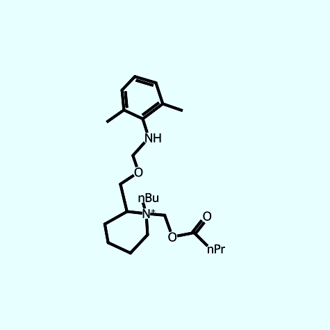 CCCC[N+]1(COC(=O)CCC)CCCCC1COCNc1c(C)cccc1C